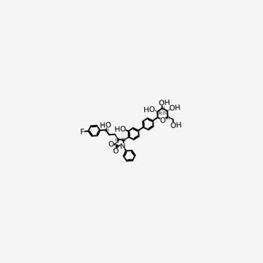 O=S1(=O)[C@@H](CC[C@@H](O)c2ccc(F)cc2)[C@@H](c2ccc(-c3ccc(C4O[C@H](CO)[C@@H](O)[C@H](O)[C@H]4O)cc3)cc2O)N1c1ccccc1